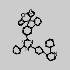 c1ccc(-c2nc(-c3ccc(-c4cccnc4-c4ccccc4)cc3)nc(-c3ccc4c(c3)-c3ccccc3C43c4ccccc4Oc4ccccc43)n2)cc1